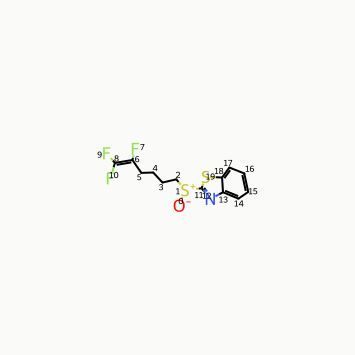 [O-][S+](CCCCC(F)=C(F)F)c1nc2ccccc2s1